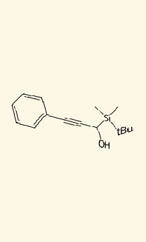 CC(C)(C)[Si](C)(C)C(O)C#Cc1ccccc1